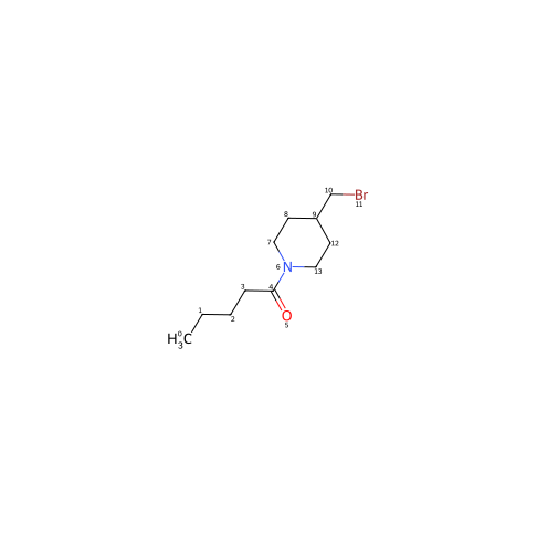 CCCCC(=O)N1CCC(CBr)CC1